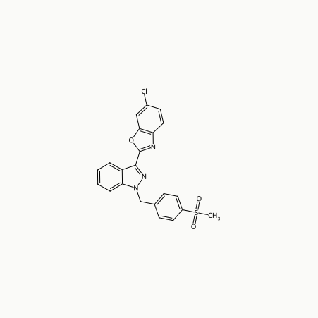 CS(=O)(=O)c1ccc(Cn2nc(-c3nc4ccc(Cl)cc4o3)c3ccccc32)cc1